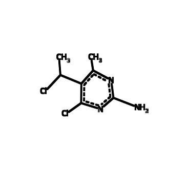 Cc1nc(N)nc(Cl)c1C(C)Cl